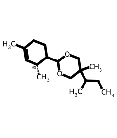 CCC(C)C1(C)COC(C2CCC(C)=C[C@H]2C)OC1